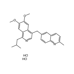 COc1cc2c(Cc3ccc4nc(C)ccc4c3)cnc(CC(C)C)c2cc1OC.Cl.Cl